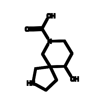 O=C(O)N1CCC(O)C2(CCNC2)C1